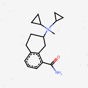 C[N+](C1CC1)(C1CC1)C1CCc2cccc(C(N)=O)c2C1